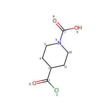 O=C(Cl)C1CCN(C(=O)O)CC1